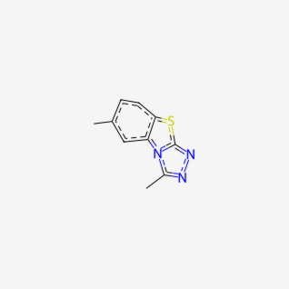 Cc1ccc2sc3nnc(C)n3c2c1